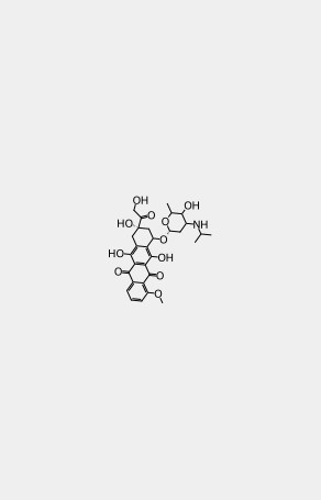 COc1cccc2c1C(=O)c1c(O)c3c(c(O)c1C2=O)C[C@@](O)(C(=O)CO)CC3O[C@H]1CC(NC(C)C)C(O)C(C)O1